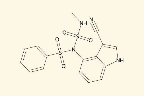 CNS(=O)(=O)N(c1cccc2[nH]cc(C#N)c12)S(=O)(=O)c1ccccc1